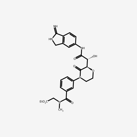 CCOC(=O)CN(C)C(=O)c1cccc(N2CCO[C@H]([C@@H](O)C(=O)Nc3ccc4c(c3)CNC4=N)C2=O)c1